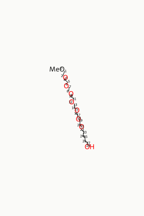 COCCOCCOCCOCCOCCOCCOCCOCCCCCCO